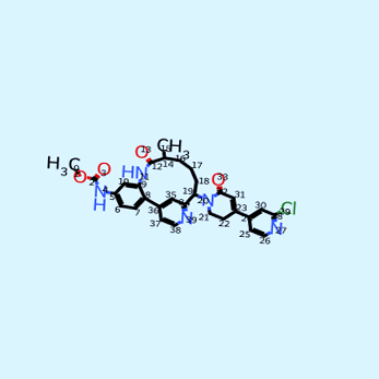 COC(=O)Nc1ccc2c(c1)NC(=O)C(C)CCCC(N1CCC(c3ccnc(Cl)c3)=CC1=O)c1cc-2ccn1